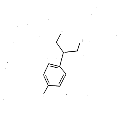 CCCCCCCC(CBr)c1ccc(O)cc1